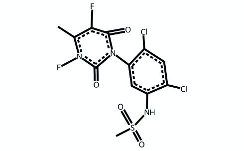 Cc1c(F)c(=O)n(-c2cc(NS(C)(=O)=O)c(Cl)cc2Cl)c(=O)n1F